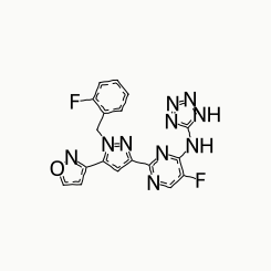 Fc1ccccc1Cn1nc(-c2ncc(F)c(Nc3nnn[nH]3)n2)cc1-c1ccon1